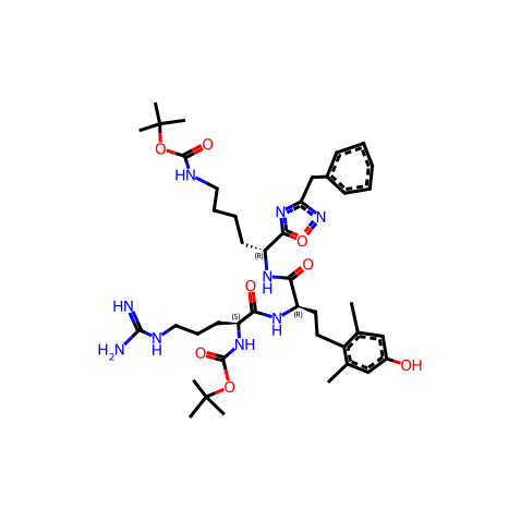 Cc1cc(O)cc(C)c1CC[C@@H](NC(=O)[C@H](CCCNC(=N)N)NC(=O)OC(C)(C)C)C(=O)N[C@H](CCCCNC(=O)OC(C)(C)C)c1nc(Cc2ccccc2)no1